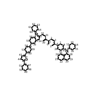 C=C(/C=C\C(=C)c1ccc(N(c2ccccc2)c2cccc3ccccc23)cc1)C(=C)/C=C\c1cc2cc(-c3ccc(-c4ccc(-c5ccccc5)s4)cc3)ccc2n1-c1ccccc1